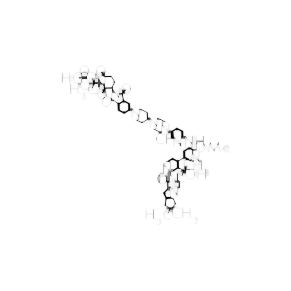 COc1ncc(-c2ccnc(N3CCn4c(cc5c4CC(C)(C)C5)C3=O)c2C(C)(C)O)cc1Nc1ccc(N2CCN(C3CCN(c4ccc5c(c4)C(=O)N(C4CCC(=O)N(C(C)OP(=O)(O)O)C4=O)C5=O)CC3)C[C@@H]2C)cn1